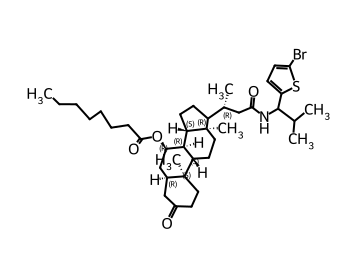 CCCCCCCC(=O)O[C@@H]1C[C@@H]2CC(=O)CC[C@]2(C)[C@H]2CC[C@]3(C)C([C@H](C)CC(=O)NC(c4ccc(Br)s4)C(C)C)CC[C@H]3[C@H]12